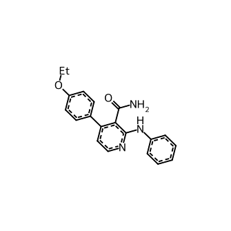 CCOc1ccc(-c2ccnc(Nc3ccccc3)c2C(N)=O)cc1